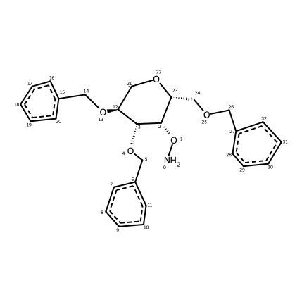 NO[C@@H]1[C@H](OCc2ccccc2)[C@@H](OCc2ccccc2)[CH]O[C@@H]1COCc1ccccc1